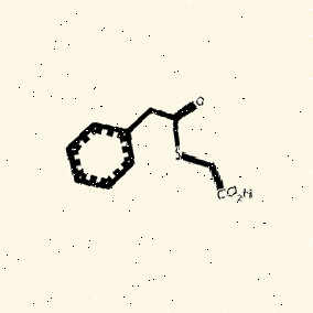 O=C(O)CSC(=O)Cc1ccccc1